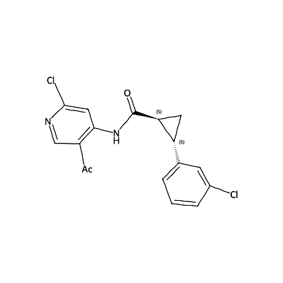 CC(=O)c1cnc(Cl)cc1NC(=O)[C@H]1C[C@@H]1c1cccc(Cl)c1